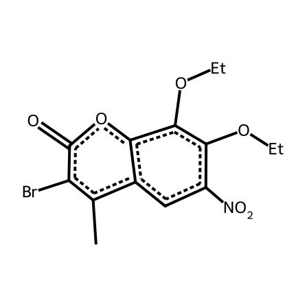 CCOc1c([N+](=O)[O-])cc2c(C)c(Br)c(=O)oc2c1OCC